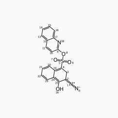 [N-]=[N+]=C1CC(S(=O)(=O)Oc2ccc3ccccc3n2)=c2ccccc2=C1O